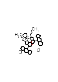 CCCCC1=Cc2c(-c3c4ccccc4cc4ccccc34)cccc2[CH]1[Ti+2]1([CH]2C(CCCC)=Cc3c(-c4c5ccccc5cc5ccccc45)cccc32)[CH]2CCCC[CH]21.[Cl-].[Cl-]